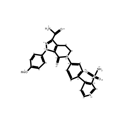 COc1ccc(-n2nc(C(N)=O)c3c2C(=O)N(c2ccc(-c4ccncc4S(N)(=O)=O)cc2)CC3)cc1